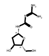 NC(N)=NC(=O)N[C@H]1CC(O)[C@@H](CO)O1